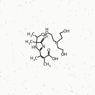 CC(C(=O)O)=C(C)C1=NC(=O)C(C)(C(C)C)N1.OCCN(CCO)CCO